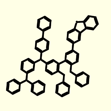 c1ccc(Cc2ccc(-c3ccc4sc5ccccc5c4c3)cc2-c2cc(N(c3ccc(-c4ccccc4)cc3)c3cccc(N(c4ccccc4)c4ccccc4)c3)ccc2Cc2ccccc2)cc1